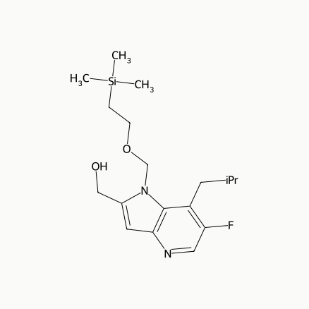 CC(C)Cc1c(F)cnc2cc(CO)n(COCC[Si](C)(C)C)c12